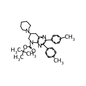 Cc1ccc(-c2nc3c(nc2-c2ccc(C)cc2)N(C(=O)OC(C)(C)C)CC(N2CCCCC2)C3)cc1